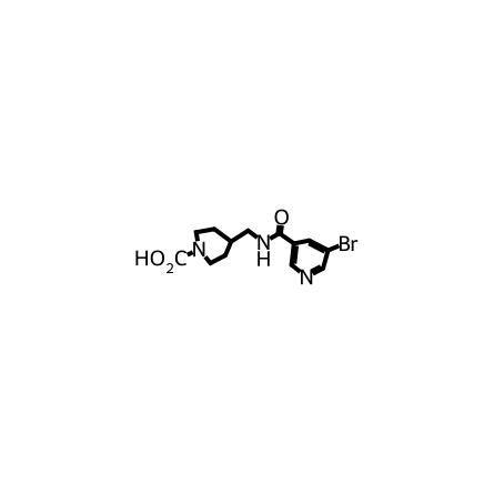 O=C(NCC1CCN(C(=O)O)CC1)c1cncc(Br)c1